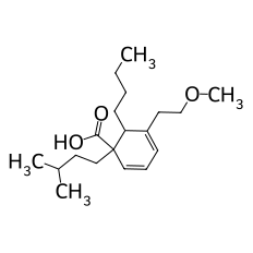 CCCCC1C(CCOC)=CC=CC1(CCC(C)C)C(=O)O